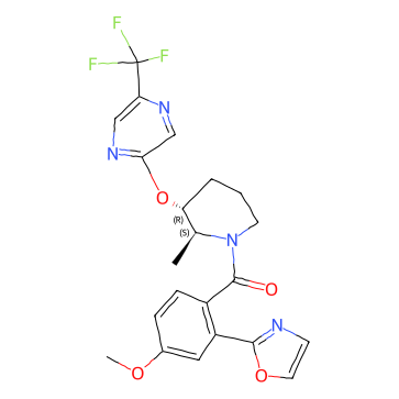 COc1ccc(C(=O)N2CCC[C@@H](Oc3cnc(C(F)(F)F)cn3)[C@@H]2C)c(-c2ncco2)c1